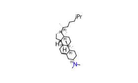 CC(C)CCC[C@@H](C)[C@H]1CC[C@H]2[C@@H]3CC=C4C[C@@H](N(C)C)CC[C@]4(C)[C@@]3(C)CC[C@]12C